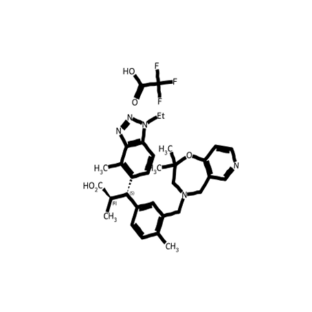 CCn1nnc2c(C)c([C@H](c3ccc(C)c(CN4Cc5cnccc5OC(C)(C)C4)c3)[C@@H](C)C(=O)O)ccc21.O=C(O)C(F)(F)F